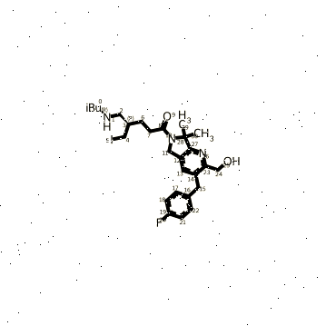 CC[C@@H](C)NC[C@H](CI)CCC(=O)N1Cc2cc(Cc3ccc(F)cc3)c(CO)nc2C1(C)C